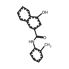 Cc1ccccc1NC(=O)c1cc(O)c2ccccc2c1